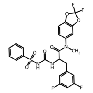 CN(C(=O)C(Cc1cc(F)cc(F)c1)NC(=O)NS(=O)(=O)c1ccccc1)c1ccc2c(c1)OC(F)(F)O2